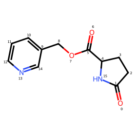 O=C1CCC(C(=O)OCc2cccnc2)N1